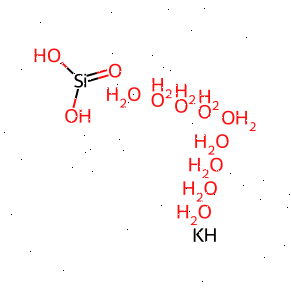 O.O.O.O.O.O.O.O.O.O=[Si](O)O.[KH]